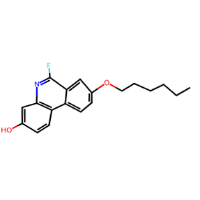 CCCCCCOc1ccc2c(c1)c(F)nc1cc(O)ccc12